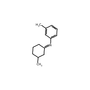 Cc1cccc(N=C2CCCC(C)C2)c1